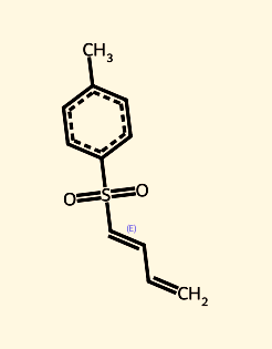 C=C/C=C/S(=O)(=O)c1ccc(C)cc1